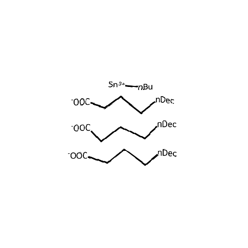 CCCCCCCCCCCCCC(=O)[O-].CCCCCCCCCCCCCC(=O)[O-].CCCCCCCCCCCCCC(=O)[O-].CCC[CH2][Sn+3]